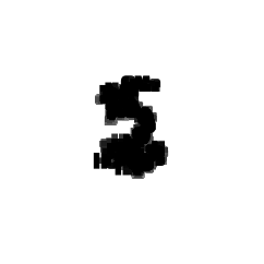 COC(=O)C[C@@H]1N=C(c2ccc(N3CC[C@H](Oc4ccc(C(=O)N[C@H](C(=O)N5C[C@H](O)C[C@H]5C(=O)N[C@@H](C)c5ccc(-c6scnc6C)cc5)C(C)(C)C)cc4)C3)cc2)c2c(sc(C)c2C)-n2c(C)nnc21